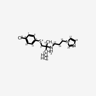 CC(C)(CSc1ccc(Cl)cc1)NCCCn1ccnc1.Cl.Cl